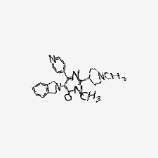 CN1CCC(c2nc(-c3ccncc3)c(N3Cc4ccccc4C3)c(=O)n2C)CC1